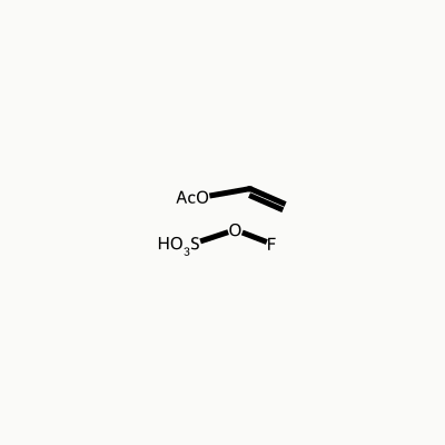 C=COC(C)=O.O=S(=O)(O)OF